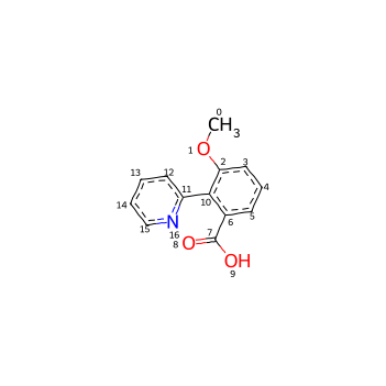 COc1cccc(C(=O)O)c1-c1ccccn1